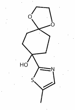 Cc1cnc(C2(O)CCC3(CC2)OCCO3)s1